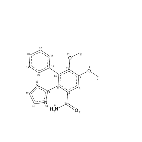 COc1cc(C(N)=O)c(-c2nccs2)c(-c2ccccc2)c1OC